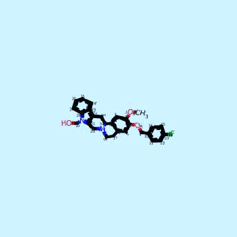 COc1cc2c(cc1OCc1ccc(F)cc1)CCN1Cc3c(c4ccccc4n3CO)CC21